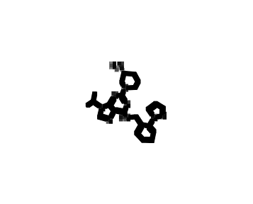 CC(C)n1cnc2c(NCc3ccccc3-n3cccn3)nc(N3CCC[C@@H](N)C3)nc21